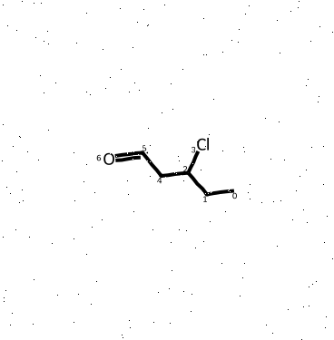 CCC(Cl)C[C]=O